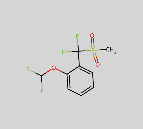 CS(=O)(=O)C(F)(F)c1ccccc1OC(F)F